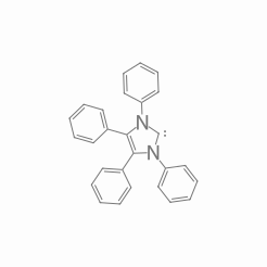 [C]1N(c2ccccc2)C(c2ccccc2)=C(c2ccccc2)N1c1ccccc1